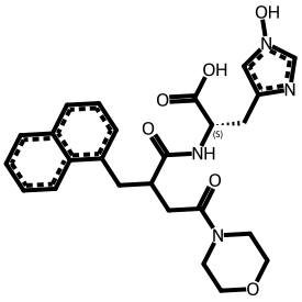 O=C(N[C@@H](Cc1cn(O)cn1)C(=O)O)C(CC(=O)N1CCOCC1)Cc1cccc2ccccc12